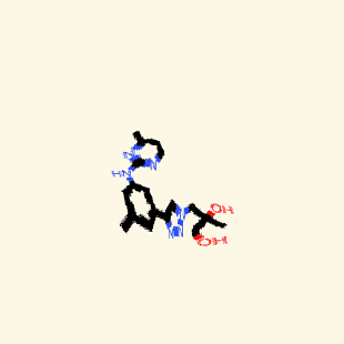 Cc1cc(Nc2nccc(C)n2)cc(-c2cn(CC(C)(O)CO)nn2)c1